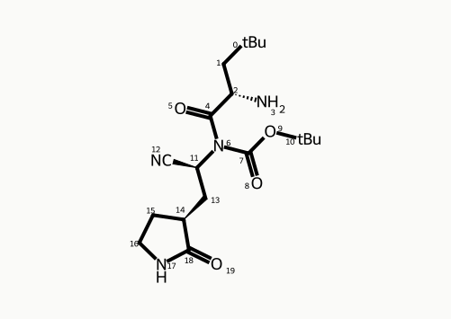 CC(C)(C)C[C@H](N)C(=O)N(C(=O)OC(C)(C)C)[C@H](C#N)C[C@@H]1CCNC1=O